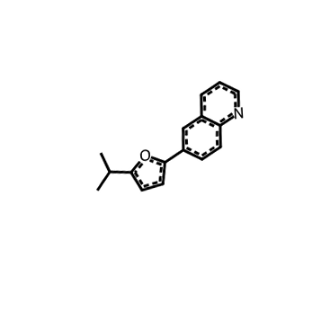 CC(C)c1ccc(-c2ccc3ncccc3c2)o1